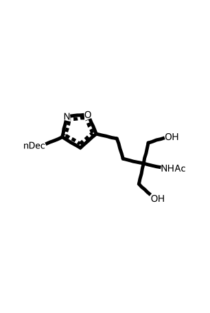 CCCCCCCCCCc1cc(CCC(CO)(CO)NC(C)=O)on1